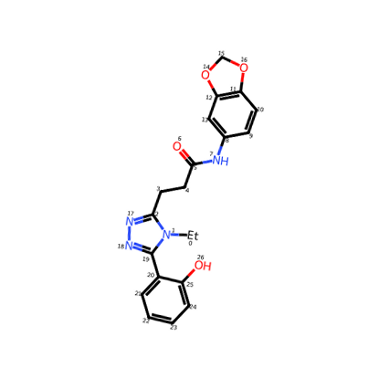 CCn1c(CCC(=O)Nc2ccc3c(c2)OCO3)nnc1-c1ccccc1O